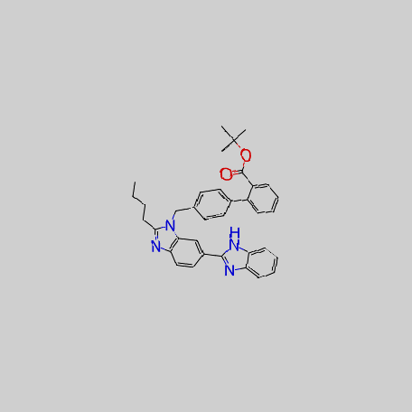 CCCCc1nc2ccc(-c3nc4ccccc4[nH]3)cc2n1Cc1ccc(-c2ccccc2C(=O)OC(C)(C)C)cc1